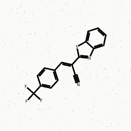 N#CC(=Cc1ccc(C(F)(F)F)cc1)c1nc2ccccc2s1